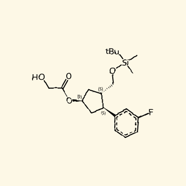 CC(C)(C)[Si](C)(C)OC[C@H]1C[C@H](OC(=O)CO)C[C@@H]1c1cccc(F)c1